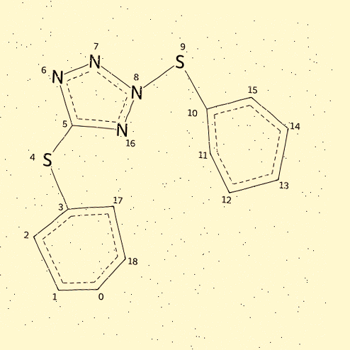 c1ccc(Sc2nnn(Sc3ccccc3)n2)cc1